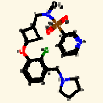 CN(CC1CC(Oc2cccc(CN3CCCC3)c2Cl)C1)S(=O)(=O)c1cccnc1